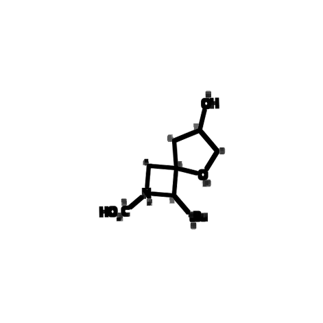 CC(C)(C)C1N(C(=O)O)CC12CC(O)CO2